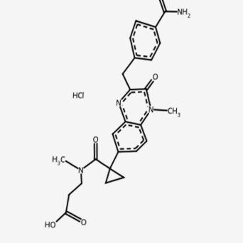 CN(CCC(=O)O)C(=O)C1(c2ccc3c(c2)nc(Cc2ccc(C(=N)N)cc2)c(=O)n3C)CC1.Cl